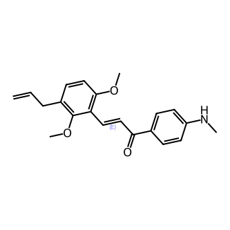 C=CCc1ccc(OC)c(/C=C/C(=O)c2ccc(NC)cc2)c1OC